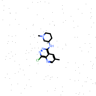 Cc1cnc2c(Cl)nnc(N[C@@H]3CCCN(C)C3)c2c1